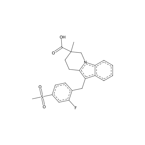 CC1(C(=O)O)CCc2c(Cc3ccc(S(C)(=O)=O)cc3F)c3ccccc3n2C1